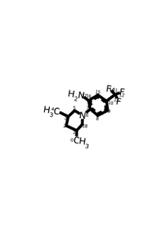 CC1CC(C)CN(c2ccc(C(F)(F)F)cc2N)C1